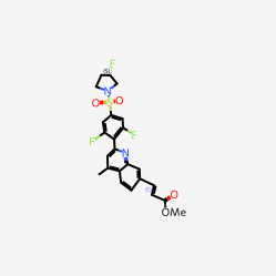 COC(=O)/C=C/c1ccc2c(C)cc(-c3c(F)cc(S(=O)(=O)N4CC[C@H](F)C4)cc3F)nc2c1